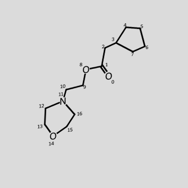 O=C(CC1CCCC1)OCCN1CCOCC1